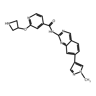 Cn1cc(-c2ccc3cnc(NC(=O)c4ccnc(OC5CNC5)c4)nc3c2)cn1